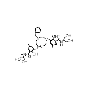 Cc1cc(CN2CCCN(Cc3cc(C)cc(C(=O)NC(CO)CO)c3O)CCN(Cc3ccccc3)CC2)c(O)c(C(=O)NC(CO)CO)c1